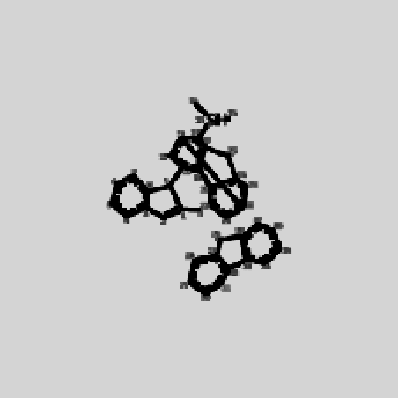 CC1=Cc2ccccc2C1c1cc2c([SiH](C)C)c3c1-c1ccc-2cc1[CH]3.[CH]1c2ccccc2-c2ccccc21